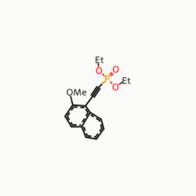 CCOP(=O)(C#Cc1c(OC)ccc2ccccc12)OCC